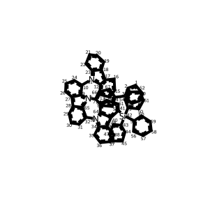 c1ccc(-c2ccc(-n3c4c(-n5c6ccccc6c6ccccc65)cccc4c4cccc(-n5c6ccccc6c6c([Si](c7ccccc7)(c7ccccc7)c7ccccc7)cccc65)c43)cc2)cc1